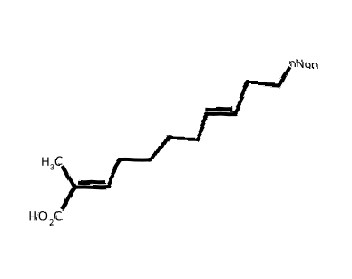 CCCCCCCCCCC/C=C/CCCC/C=C(\C)C(=O)O